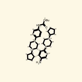 CC(C)COC(=O)Nc1ccc(N2CCN(C3CCCC3)CC2)nc1.Nc1ccc(N2CCN(C3CCCC3)CC2)nc1